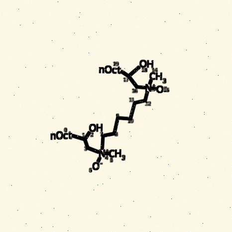 CCCCCCCCC(O)C[N+](C)([O-])CCCCCC[N+](C)([O-])CC(O)CCCCCCCC